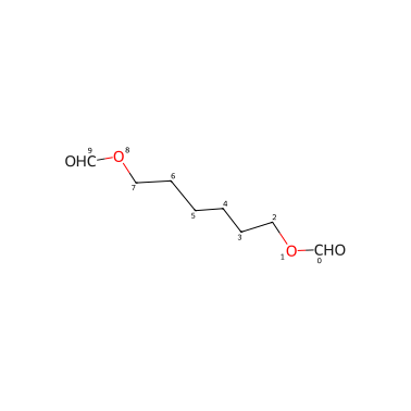 O=COCCCCCCOC=O